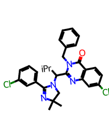 CC(C)C(c1nc2cc(Cl)ccc2c(=O)n1Cc1ccccc1)N1CC(C)(C)N=C1c1cccc(Cl)c1